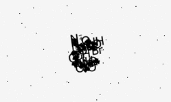 C=CC(OC(=O)[C@@H](NC(=O)[C@@H](NC(=O)OC(C)(C)C)C(C)C)C(C)C)[C@H]1O[C@@H](n2cc(Br)c(=O)[nH]c2=O)C[C@@H]1N=[N+]=[N-]